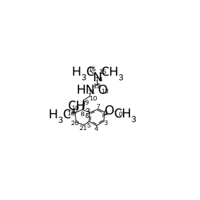 COc1ccc2c(c1)C(=CCNC(=O)N(C)C)C(C)(C)CC2